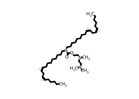 CCCCC/C=C\C/C=C\CCCCCCCCN(CCCCCCCC/C=C\C/C=C\CCCCC)C(=O)OCCN(C)CCN(C)C